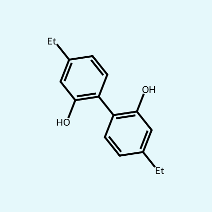 CCc1ccc(-c2ccc(CC)cc2O)c(O)c1